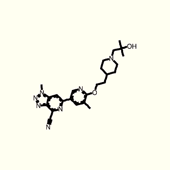 Cc1cc(-c2cc3c(nnn3C)c(C#N)n2)cnc1OCCC1CCN(CC(C)(C)O)CC1